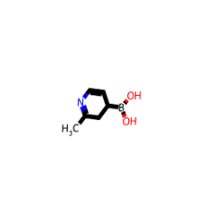 CC1=NC=CC(B(O)O)C1